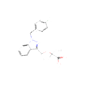 CC(C)(OCc1nn(Cc2ccc(Cl)cc2)c2ccccc12)C(=O)O